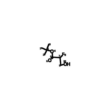 CC(C)(C)OC(=O)C(F)CO